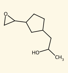 CC(O)CC1CCC(C2CO2)C1